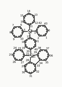 c1ccc([Si](c2ccccc2)(c2ccccc2)c2ccc([Si]3(c4ccccc4)c4ccccc4-c4ccccc43)cc2)cc1